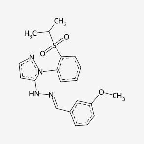 COc1cccc(C=NNc2ccnn2-c2ccccc2S(=O)(=O)C(C)C)c1